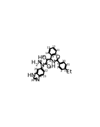 CCc1ccc(C(=O)NC(c2ccccc2)C(O)C(=O)N(N)c2ccc3nc[nH]c3c2)cc1